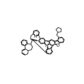 C1=CCC2CCC(/C3=C/c4cc5c6cc4-c4cccc(n4)CC3Cc3ccc4c7c8oc9cccc(CC%10CCCC%10)c9c8cc6c7n5c4c3)c3ccccc3C2=C1